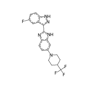 Fc1ccc2[nH]nc(-c3nc4ccc(N5CCC(C(F)(F)F)CC5)cc4[nH]3)c2c1